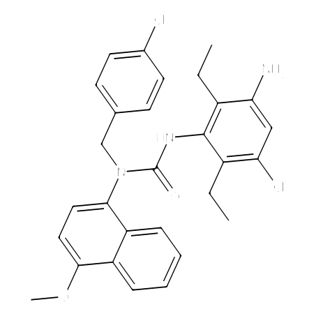 CCc1c(N)cc(Cl)c(CC)c1NC(=O)N(Cc1ccc(Cl)cc1)c1ccc(OC)c2ccccc12